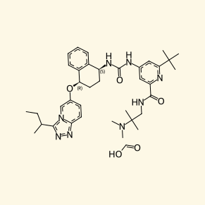 CCC(C)c1nnc2ccc(O[C@@H]3CC[C@H](NC(=O)Nc4cc(C(=O)NCC(C)(C)N(C)C)nc(C(C)(C)C)c4)c4ccccc43)cn12.O=CO